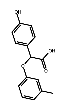 Cc1cccc(OC(C(=O)O)c2ccc(O)cc2)c1